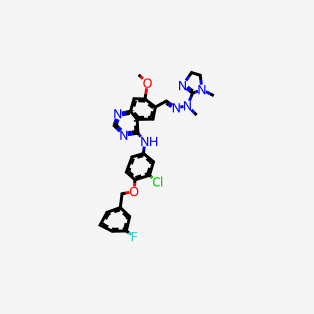 COc1cc2ncnc(Nc3ccc(OCc4cccc(F)c4)c(Cl)c3)c2cc1C=NN(C)C1=NCCN1C